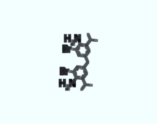 CC(C)c1cc(Cc2cc(Br)c(N)c(C(C)C)c2)cc(Br)c1N